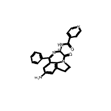 Nc1cc2c3c(c1)C(c1ccccc1)=N[C@@H](NC(=O)c1ccncc1)C(=O)N3CC2